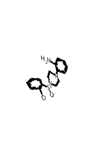 Nc1ccccc1N1CCN([S+]([O-])c2ccccc2Cl)CC1